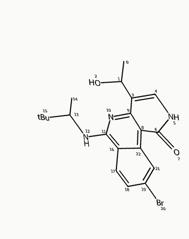 CC(O)c1c[nH]c(=O)c2c1nc(NC(C)C(C)(C)C)c1ccc(Br)cc12